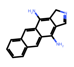 Nc1c2c(c(N)c3cc4ccccc4cc13)CN=C2